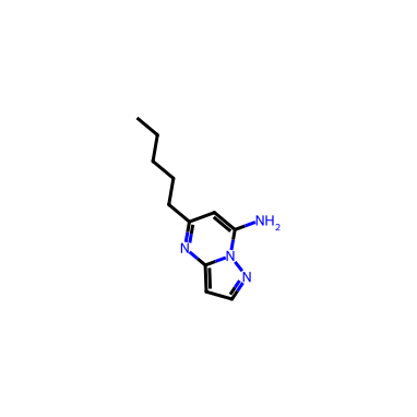 CCCCCc1cc(N)n2nccc2n1